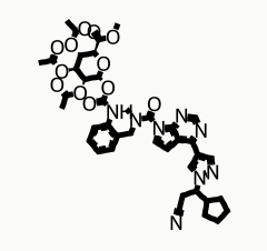 COC(=O)[C@H]1O[C@@H](OC(=O)Nc2ccccc2CN(C)C(=O)n2ccc3c(-c4cnn(C(CC#N)C5CCCC5)c4)ncnc32)[C@H](OC(C)=O)[C@@H](OC(C)=O)[C@@H]1OC(C)=O